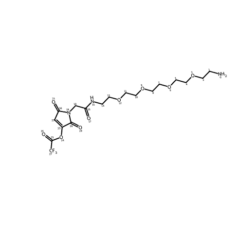 NCCOCCOCCOCCOCCNC(=O)CN1C(=O)C=C(OC(=O)C(F)(F)F)C1=O